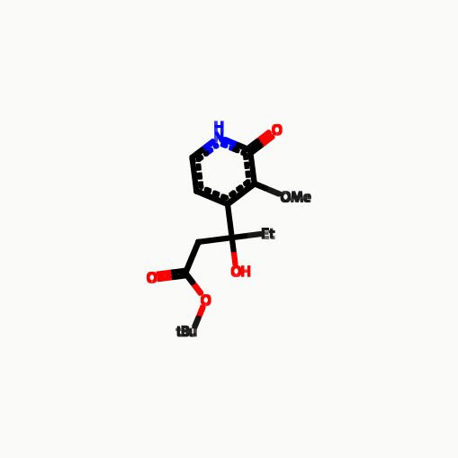 CCC(O)(CC(=O)OC(C)(C)C)c1cc[nH]c(=O)c1OC